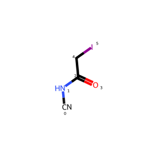 N#CNC(=O)CI